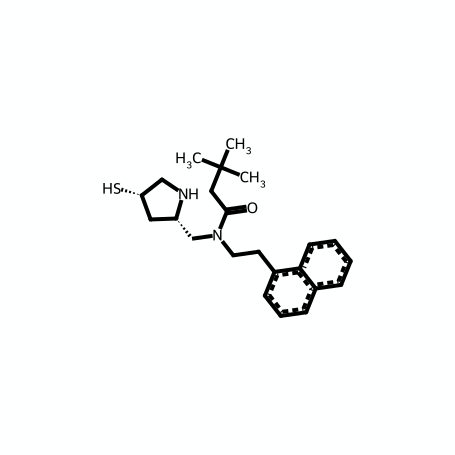 CC(C)(C)CC(=O)N(CCc1cccc2ccccc12)C[C@@H]1C[C@H](S)CN1